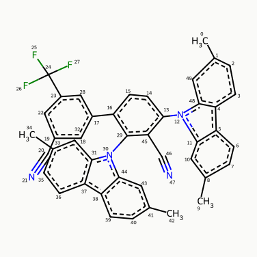 Cc1ccc2c3ccc(C)cc3n(-c3ccc(-c4cc(C#N)cc(C(F)(F)F)c4)c(-n4c5cc(C)ccc5c5ccc(C)cc54)c3C#N)c2c1